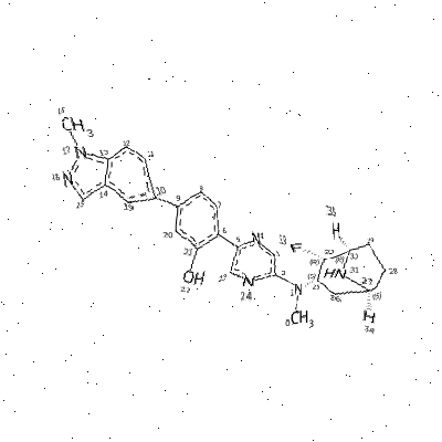 CN(c1cnc(-c2ccc(-c3ccc4c(cnn4C)c3)cc2O)cn1)[C@H]1C[C@@H]2CC[C@@H](N2)[C@H]1F